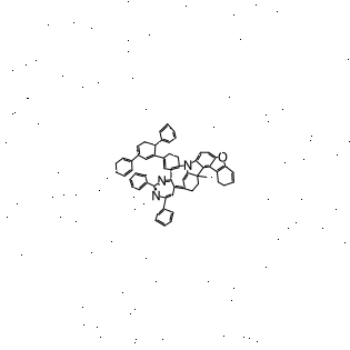 CC12CCc3cc1n(c1c(c4nc(-c5ccccc5)nc(-c5ccccc5)cc3-4)C=C(C3=CC(C4=CCCC=C4)=CCC3c3ccccc3)CC1)-c1ccc3oc4c(c3c12)CCC=C4